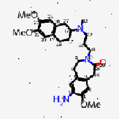 COc1cc2c(cc1N)CCN(CCCN(C)C1CCc3cc(OC)c(OC)cc3C1)C(=O)C2